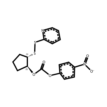 O=C(Oc1ccc([N+](=O)[O-])cc1)O[C@H]1CCC[C@@H]1SSc1ccccn1